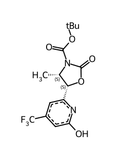 C[C@H]1[C@@H](c2cc(C(F)(F)F)cc(O)n2)OC(=O)N1C(=O)OC(C)(C)C